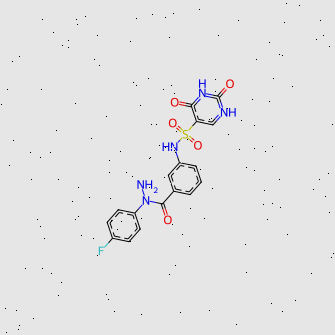 NN(C(=O)c1cccc(NS(=O)(=O)c2c[nH]c(=O)[nH]c2=O)c1)c1ccc(F)cc1